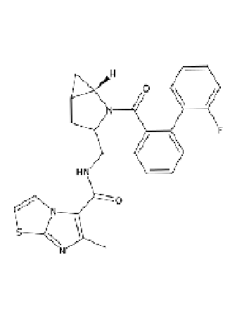 Cc1nc2sccn2c1C(=O)NCC1CC2C[C@@H]2N1C(=O)c1ccccc1-c1ccccc1F